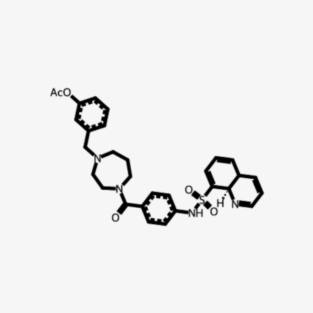 CC(=O)Oc1cccc(CN2CCCN(C(=O)c3ccc(NS(=O)(=O)C4=CC=CC5C=CC=N[C@@H]45)cc3)CC2)c1